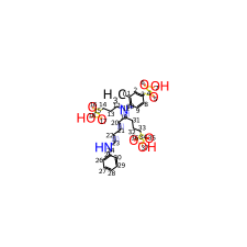 Cc1cc(S(=O)(=O)O)ccc1/[N+](CCCS(=O)(=O)O)=C(/C=C/C=C/Nc1ccccc1)CCCS(=O)(=O)O